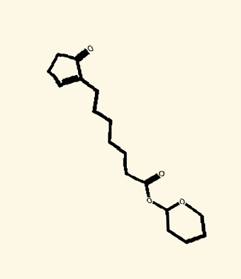 O=C(CCCCCCC1=CCCC1=O)OC1CCCCO1